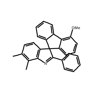 COc1cccc2c1-c1ccccc1C21C(c2ccccc2)=Nc2c1ccc(C)c2C